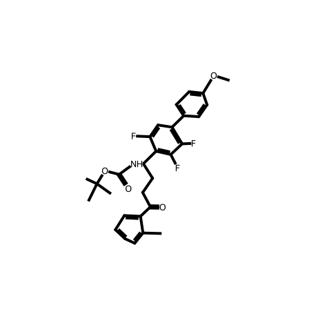 COc1ccc(-c2cc(F)c(C(CCC(=O)c3ccccc3C)NC(=O)OC(C)(C)C)c(F)c2F)cc1